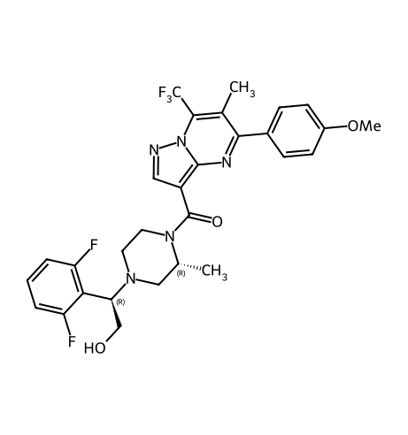 COc1ccc(-c2nc3c(C(=O)N4CCN([C@@H](CO)c5c(F)cccc5F)C[C@H]4C)cnn3c(C(F)(F)F)c2C)cc1